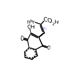 CCC/C(=C\C1=C(O)C(=O)c2ccccc2C1=O)C(=O)O